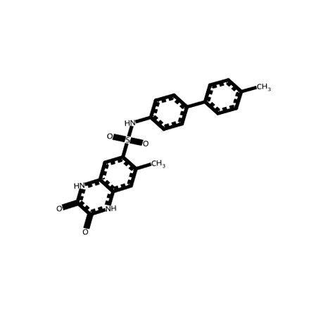 Cc1ccc(-c2ccc(NS(=O)(=O)c3cc4[nH]c(=O)c(=O)[nH]c4cc3C)cc2)cc1